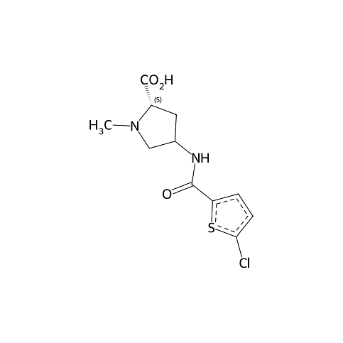 CN1CC(NC(=O)c2ccc(Cl)s2)C[C@H]1C(=O)O